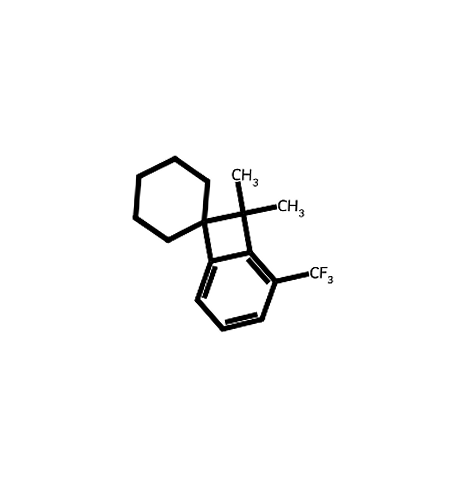 CC1(C)c2c(C(F)(F)F)cccc2C12CCCCC2